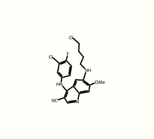 COc1cc2ncc(C#N)c(Nc3ccc(F)c(Cl)c3)c2cc1NCCCCCl